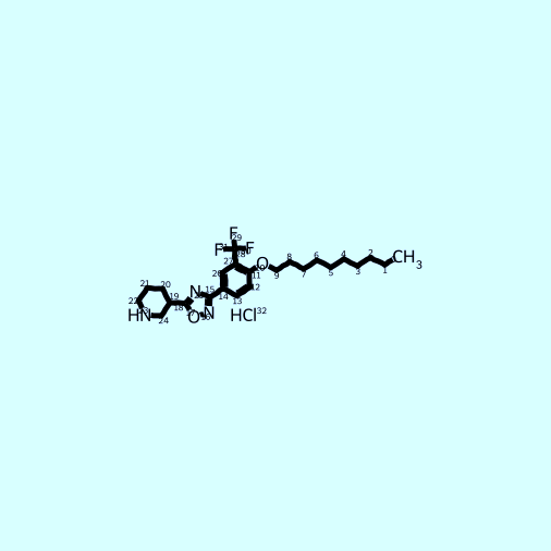 CCCCCCCCCCOc1ccc(-c2noc(C3CCCNC3)n2)cc1C(F)(F)F.Cl